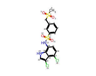 CS(=O)(=O)Cc1cccc(S(=O)(=O)Nc2ccc(Cl)c3c(Cl)c[nH]c23)c1